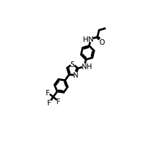 CCC(=O)Nc1ccc(Nc2nc(-c3ccc(C(F)(F)F)cc3)cs2)cc1